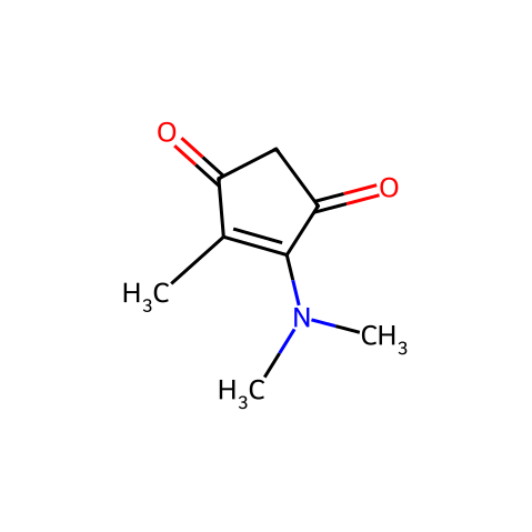 CC1=C(N(C)C)C(=O)CC1=O